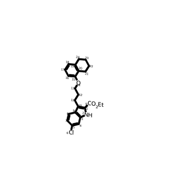 CCOC(=O)c1[nH]c2cc(Cl)ccc2c1CCCOc1cccc2c1CCCC2